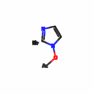 CC(=O)On1ccnc1.[Rh]